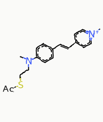 CC(=O)SCCN(C)c1ccc(/C=C/c2cc[n+](C)cc2)cc1